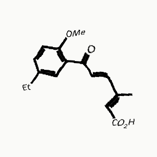 CCc1ccc(OC)c(C(=O)C=CC(C)=CC(=O)O)c1